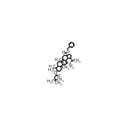 C=C(C)[C@@H]1CC[C@]2(C(=O)OCc3ccccc3)CC[C@]3(C)C(CCC4[C@@]5(C)CC[C@H](OC(=O)CC(C)(C)C)C(C)(C)C5CC[C@]43C)C12